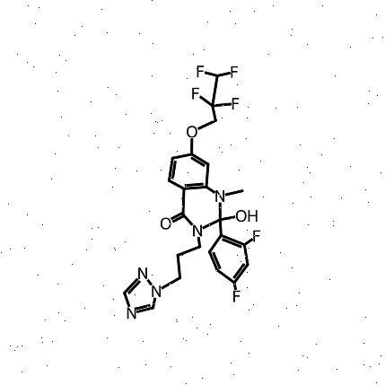 CN1c2cc(OCC(F)(F)C(F)F)ccc2C(=O)N(CCCn2cncn2)C1(O)c1ccc(F)cc1F